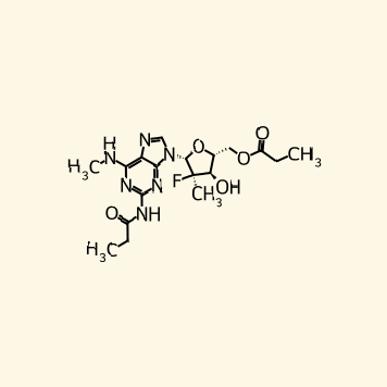 CCC(=O)Nc1nc(NC)c2ncn([C@@H]3O[C@H](COC(=O)CC)[C@@H](O)[C@@]3(C)F)c2n1